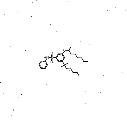 CCCCCCC(C)Oc1cc(C(C)(C)CCCCC)cc(S(=O)(=O)Nc2[c]cccc2)c1